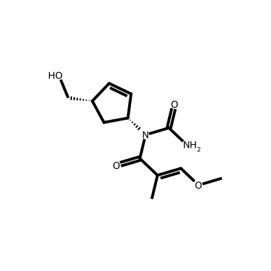 COC=C(C)C(=O)N(C(N)=O)[C@H]1C=C[C@@H](CO)C1